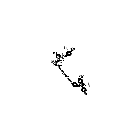 Cc1ncsc1-c1ccc(CNC(=O)[C@@H]2C[C@@H](O)CN2C(=O)C(NC(=O)COCCOCCOCCOc2ccc(Cn3c(-c4ccc(Br)cc4)c(C)c4cc(O)ccc43)cc2)C(C)(C)C)cc1